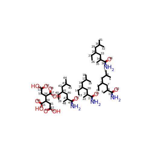 CCC(CC(C)C)CC(C)C(N)=O.CCC(CC(C)C)CC(C)C(N)=O.CCC(CC(C)C)CC(C)C(N)=O.CCC(CC(C)C)CC(C)C(N)=O.O=C(O)CC(C(=O)O)C(CC(=O)O)C(=O)O